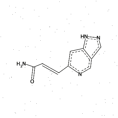 NC(=O)C=Cc1cc2[nH]ncc2cn1